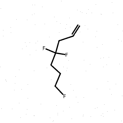 C=CCC(F)(F)CCCF